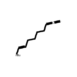 [CH]=C=CCCCCC=CCCCC